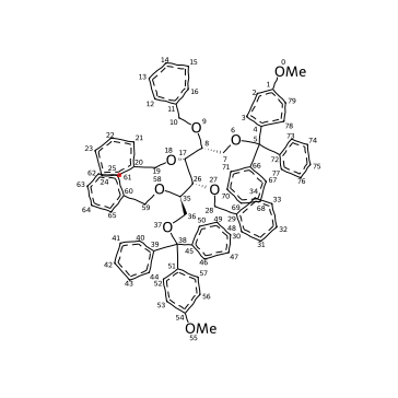 COc1ccc(C(OC[C@@H](OCc2ccccc2)[C@@H](OCc2ccccc2)[C@H](OCc2ccccc2)[C@@H](COC(c2ccccc2)(c2ccccc2)c2ccc(OC)cc2)OCc2ccccc2)(c2ccccc2)c2ccccc2)cc1